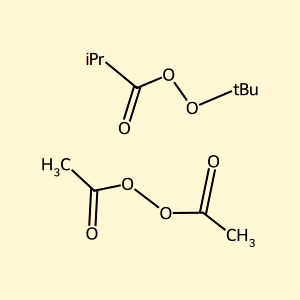 CC(=O)OOC(C)=O.CC(C)C(=O)OOC(C)(C)C